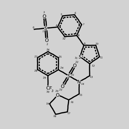 CS(=O)(=O)c1cccc(-c2ccc(CN(CC3CCCO3)S(=O)(=O)c3ccccc3C(F)(F)F)s2)c1